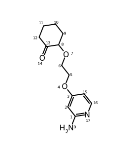 Nc1cc(OCCOC2CCCCC2=O)ccn1